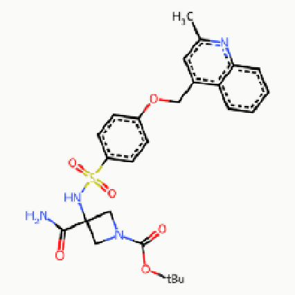 Cc1cc(COc2ccc(S(=O)(=O)NC3(C(N)=O)CN(C(=O)OC(C)(C)C)C3)cc2)c2ccccc2n1